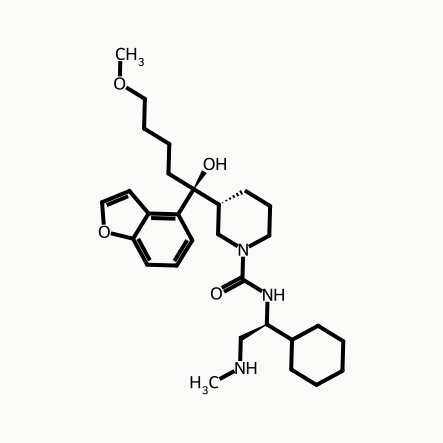 CNC[C@@H](NC(=O)N1CCC[C@@H]([C@@](O)(CCCCOC)c2cccc3occc23)C1)C1CCCCC1